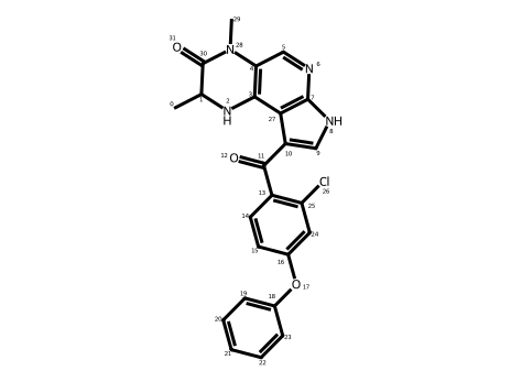 CC1Nc2c(cnc3[nH]cc(C(=O)c4ccc(Oc5ccccc5)cc4Cl)c23)N(C)C1=O